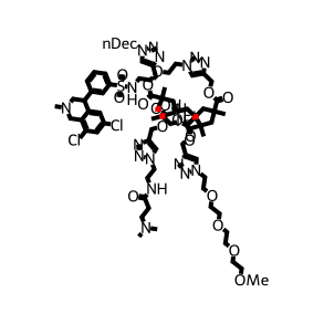 CCCCCCCCCCn1cc(COC(=O)C(C)(C)CC(C)(CC(C)(CC(C)(CC(C)(CC)C(=O)NCC(C)O)C(=O)OCc2cn(CCOCCNS(=O)(=O)c3cccc(C4CN(C)Cc5c(Cl)cc(Cl)cc54)c3)nn2)C(=O)OCc2cn(CCOCCOCCOCCOC)nn2)C(=O)OCc2cn(CCNC(=O)CCN(C)C)nn2)nn1